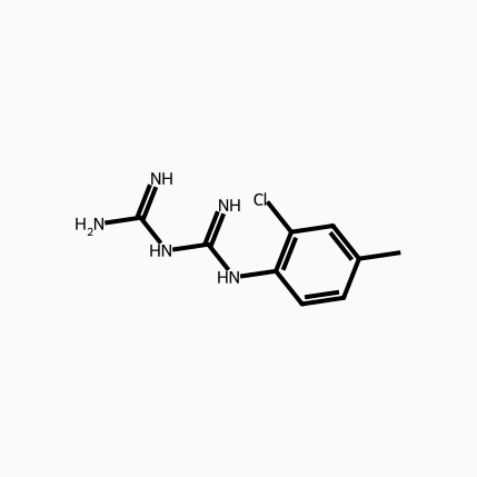 Cc1ccc(NC(=N)NC(=N)N)c(Cl)c1